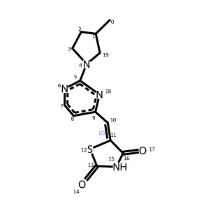 CC1CCN(c2nccc(/C=C3\SC(=O)NC3=O)n2)C1